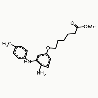 COC(=O)CCCCCOc1ccc(N)c(Nc2ccc(C)cc2)c1